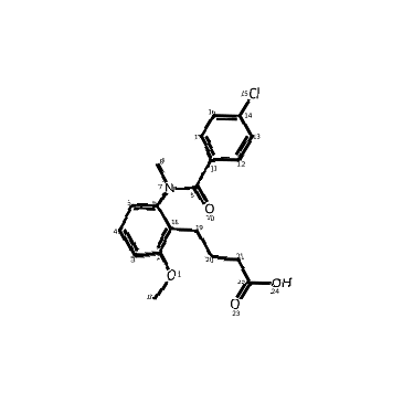 COc1cccc(N(C)C(=O)c2ccc(Cl)cc2)c1CCCC(=O)O